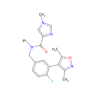 Cc1noc(C)c1-c1cc(CN(C(=O)c2cn(C)cn2)C(C)C)ccc1F